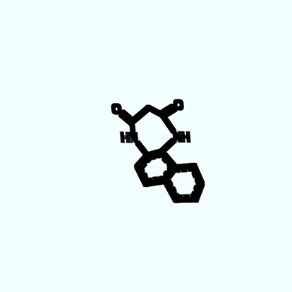 O=C1CC(=O)Nc2c(ccc3ccccc23)N1